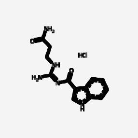 Cl.NC(=O)CCNC(N)=NC(=O)c1c[nH]c2ccccc12